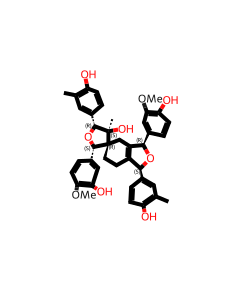 COc1ccc([C@@H]2O[C@H](c3ccc(O)c(C)c3)[C@@](C)(O)[C@@]23CCC2=C(C3)[C@@H](c3ccc(O)c(OC)c3)O[C@H]2c2ccc(O)c(C)c2)cc1O